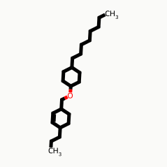 CCCCCCCCC1CCC(OCC2C=CC(CCC)CC2)CC1